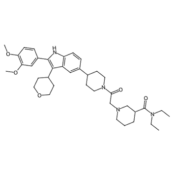 CCN(CC)C(=O)C1CCCN(CC(=O)N2CCC(c3ccc4[nH]c(-c5ccc(OC)c(OC)c5)c(C5CCOCC5)c4c3)CC2)C1